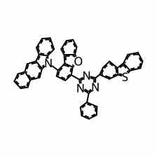 c1ccc(-c2nc(-c3ccc4c(c3)sc3ccccc34)nc(-c3ccc(-n4c5ccccc5c5cc6ccccc6cc54)c4c3oc3ccccc34)n2)cc1